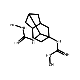 N#CNC(=N)NC1C2CC3CCC1(NC(=N)NC#N)CC3C2